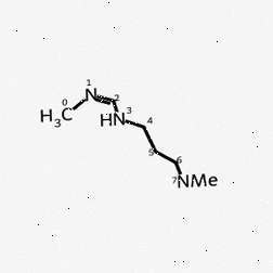 C/N=C\NCCCNC